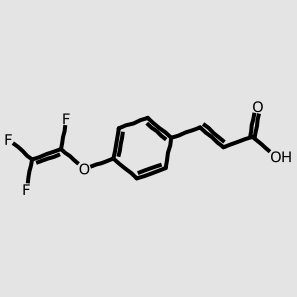 O=C(O)/C=C/c1ccc(OC(F)=C(F)F)cc1